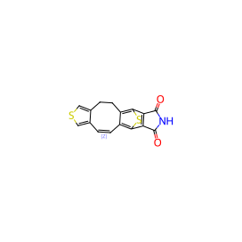 O=C1NC(=O)c2c1c1sc2c2c1/C=C\c1cscc1CC2